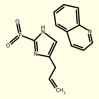 C=CCc1c[nH]c(P(=O)=O)n1.c1ccc2ncccc2c1